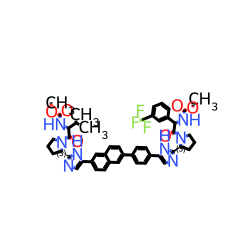 COC(=O)NC(C(=O)N1CCC[C@H]1c1ncc(-c2ccc(-c3ccc4cc(-c5cnc([C@@H]6CCCN6C(=O)C(NC(=O)OC)C(C)C)[nH]5)ccc4c3)cc2)[nH]1)c1cccc(C(F)(F)F)c1